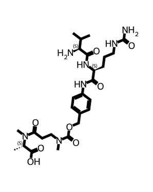 CC(C)[C@H](N)C(=O)N[C@@H](CCCNC(N)=O)C(=O)Nc1ccc(COC(=O)N(C)CCC(=O)N(C)[C@@H](C)C(=O)O)cc1